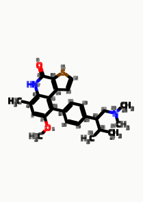 COc1cc(C)c2[nH]c(=O)c3sccc3c2c1-c1ccc(C(CN(C)C)C(C)C)cc1